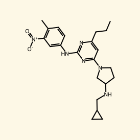 CCCc1cc(N2CCC(NCC3CC3)C2)nc(Nc2ccc(C)c([N+](=O)[O-])c2)n1